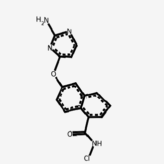 Nc1nccc(Oc2ccc3c(C(=O)NCl)cccc3c2)n1